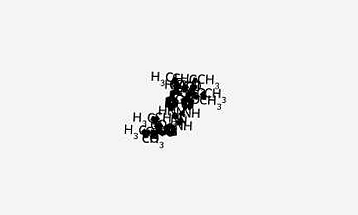 CC(C)OC(=O)C(=Cc1ccc(Nc2nc(Nc3ccc(C=C(C(=O)OC(C)C)C(=O)OC(C)C)cc3)nc(Nc3ccc(C=C(C(=O)OC(C)C)C(=O)OC(C)C)cc3)n2)cc1)C(=O)OC(C)C